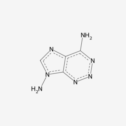 Nc1nnnc2c1ncn2N